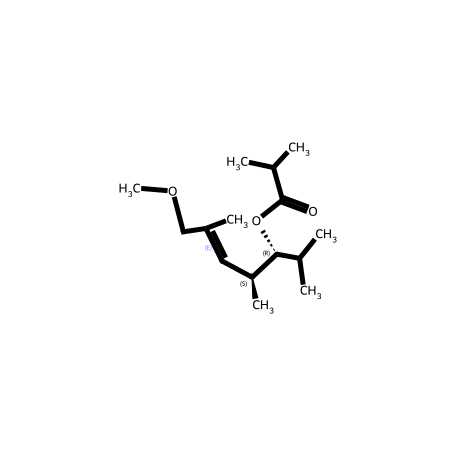 COC/C(C)=C/[C@H](C)[C@H](OC(=O)C(C)C)C(C)C